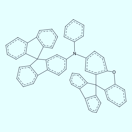 c1ccc(N(c2ccc3c(c2)C2(c4ccccc4O3)c3ccccc3-c3ccccc32)c2ccc3c(c2)C2(c4ccccc4-c4ccccc42)c2ccccc2-3)cc1